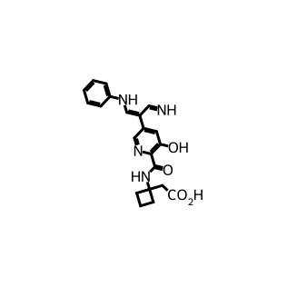 N=C/C(=C\Nc1ccccc1)c1cnc(C(=O)NC2(CC(=O)O)CCC2)c(O)c1